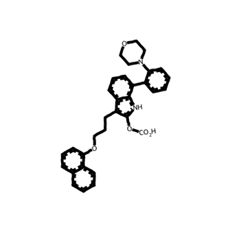 O=C(O)Oc1[nH]c2c(-c3ccccc3N3CCOCC3)cccc2c1CCCOc1cccc2ccccc12